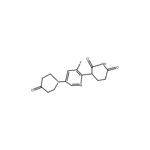 O=C1CCN(c2cnc(C3CCC(=O)NC3=O)c(F)c2)CC1